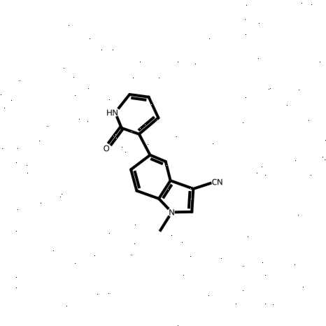 Cn1cc(C#N)c2cc(-c3ccc[nH]c3=O)ccc21